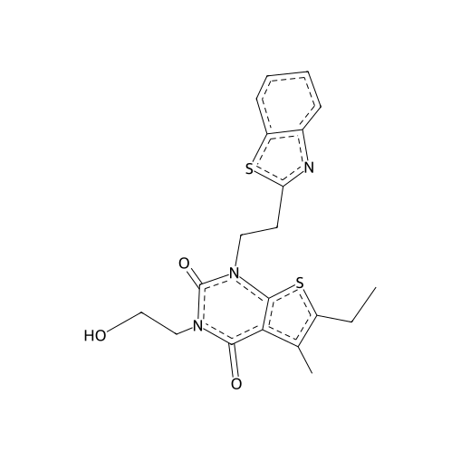 CCc1sc2c(c1C)c(=O)n(CCO)c(=O)n2CCc1nc2ccccc2s1